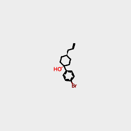 C=CC[C@H]1CC[C@@](O)(c2ccc(Br)cc2)CC1